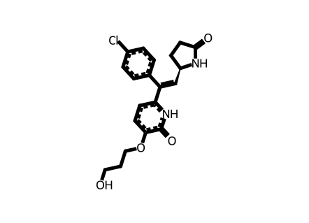 O=C1CC[C@H](/C=C(\c2ccc(Cl)cc2)c2ccc(OCCCO)c(=O)[nH]2)N1